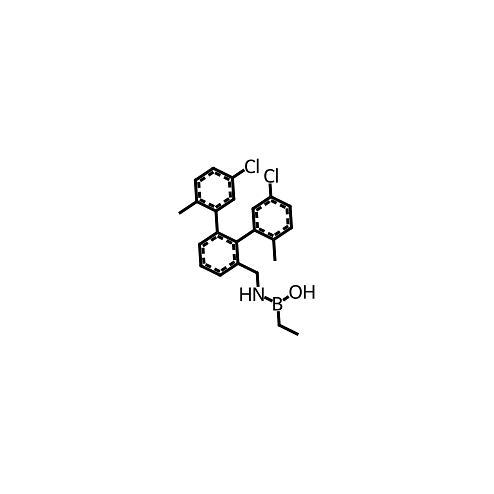 CCB(O)NCc1cccc(-c2cc(Cl)ccc2C)c1-c1cc(Cl)ccc1C